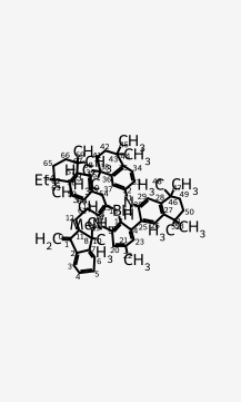 C=C1c2ccccc2C(C)(C)C1CC/C=C(/Bc1c(NC)cc(C)cc1-c1cc2c(cc1Nc1ccc3c(c1)C(C)(C)CCC3(C)C)C(C)(C)CCC2(C)C)Cc1cc2c(cc1C)C(C)(CC)CCC2(C)C